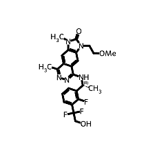 COCCn1c(=O)n(C)c2cc3c(C)nnc(N[C@H](C)c4cccc(C(F)(F)CO)c4F)c3cc21